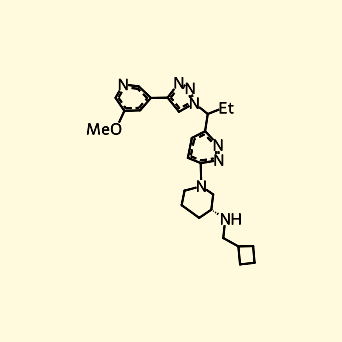 CCC(c1ccc(N2CCC[C@@H](NCC3CCC3)C2)nn1)n1cc(-c2cncc(OC)c2)nn1